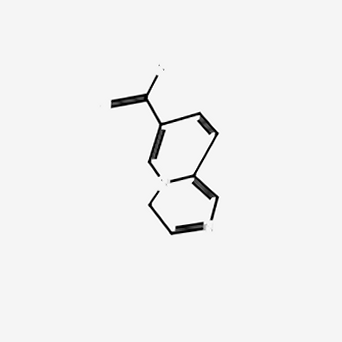 NC(=O)C1=CN2CC=NC=C2C=C1